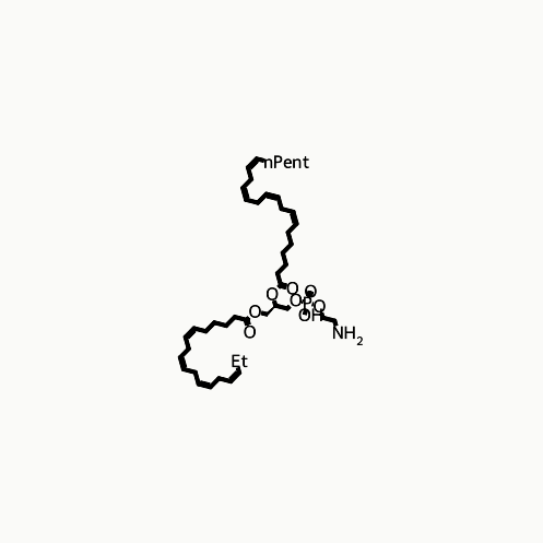 CC/C=C\C/C=C\C/C=C\C/C=C\CCCCC(=O)OC[C@H](COP(=O)(O)OCCN)OC(=O)CCCCC/C=C\C/C=C\C/C=C\C/C=C\CCCCC